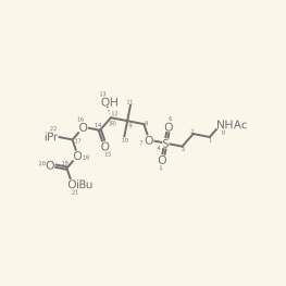 CC(=O)NCCCS(=O)(=O)OCC(C)(C)[C@@H](O)C(=O)OC(OC(=O)OCC(C)C)C(C)C